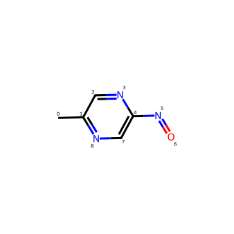 Cc1cnc(N=O)cn1